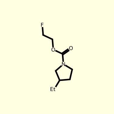 CCC1CCN(C(=O)OCCF)C1